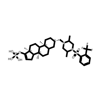 CC1CN(S(=O)(=O)c2ccccc2C(F)(F)F)C(C)CN1C[C@H]1CC[C@@]2(C)C(CC[C@@H]3C2CC[C@]2(C)C(O[PH](O)(O)O)=CCC32)C1